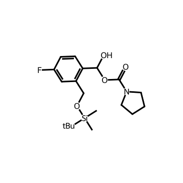 CC(C)(C)[Si](C)(C)OCc1cc(F)ccc1C(O)OC(=O)N1CCCC1